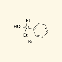 CC[N+](O)(CC)c1ccccc1.[Br-]